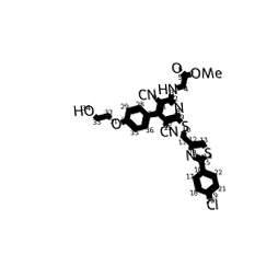 [C-]#[N+]c1c(NCC(=O)OC)nc(SCc2csc(-c3ccc(Cl)cc3)n2)c(C#N)c1-c1ccc(OCCO)cc1